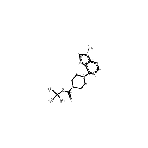 Cn1cnc2c(N3CCN(C(=O)OC(C)(C)C)CC3)ncnc21